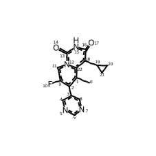 Cc1c(-c2cncnc2)c(F)cn2c(=O)[nH]c(=O)c(C3CC3)c12